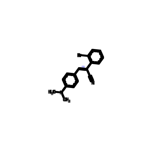 CN(C)c1ccc(/C=C(\C#N)c2ccccc2Br)cc1